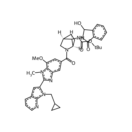 COc1cc(C(=O)N2C[C@H]3C[C@H](N4C(=O)c5ccccc5C4O)[C@@H]2[C@@H]3NC(=O)OC(C)(C)C)cc2nc(-c3cc4cccnc4n3CC3CC3)n(C)c12